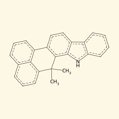 CC1(C)c2c(ccc3c2[nH]c2ccccc23)-c2cccc3cccc1c23